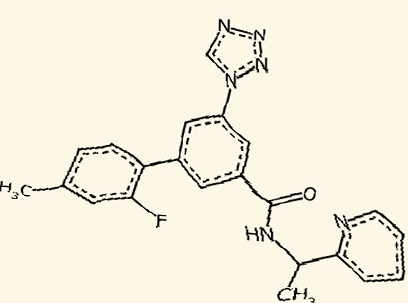 Cc1ccc(-c2cc(C(=O)NC(C)c3ccccn3)cc(-n3cnnn3)c2)c(F)c1